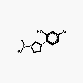 CB(O)N1CC[C@@H](c2ccc(Br)cc2O)C1